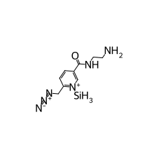 [N-]=[N+]=NCc1ccc(C(=O)NCCN)c[n+]1[SiH3]